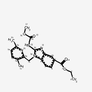 CCOC(=O)c1ccc2c(c1)nc(NC(=O)OC)n2Cc1nc(C)ccc1O